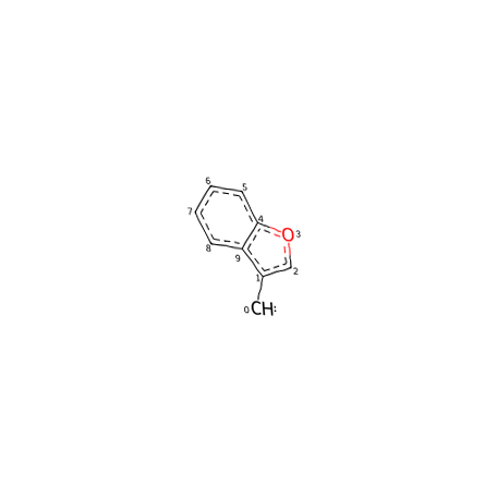 [CH]c1coc2ccccc12